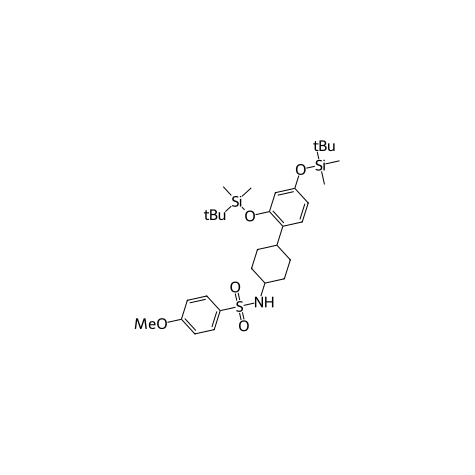 COc1ccc(S(=O)(=O)NC2CCC(c3ccc(O[Si](C)(C)C(C)(C)C)cc3O[Si](C)(C)C(C)(C)C)CC2)cc1